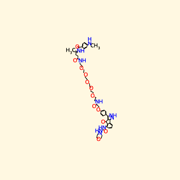 CNc1ccc(C(=O)N[C@@H](C)CCC(=O)NCCOCCOCCOCCOCCOCCNC(=O)COc2ccc(-c3[nH]nc4c3C(=O)c3c(NC(=O)NN5CCOCC5)cccc3-4)cc2)cc1